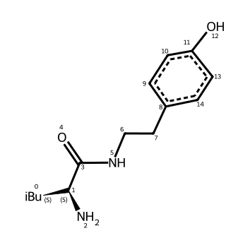 CC[C@H](C)[C@H](N)C(=O)NCCc1ccc(O)cc1